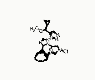 COC(c1cnnn1N1C=NC2c3ccccc3N3CN(Cl)C=C3N21)C1CC1